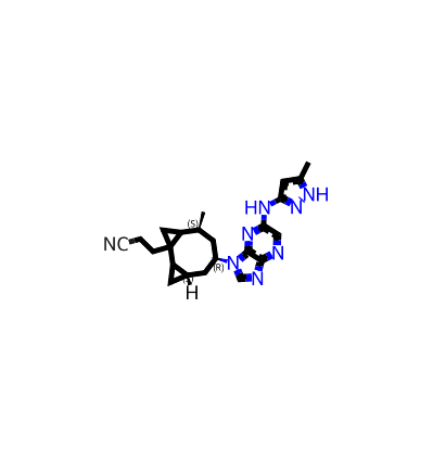 Cc1cc(Nc2cnc3ncn([C@H]4C[C@@H]5CC5C5(CCC#N)CC5[C@@H](C)C4)c3n2)n[nH]1